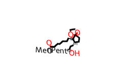 CCCCC[C@H](O)CC[C@H]1CCC2(OCCO2)[C@@H]1CCCCCCC(=O)OC